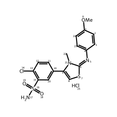 COc1ccc(N=c2scc(-c3ccc(Cl)c(S(N)(=O)=O)c3)n2C)cc1.Cl